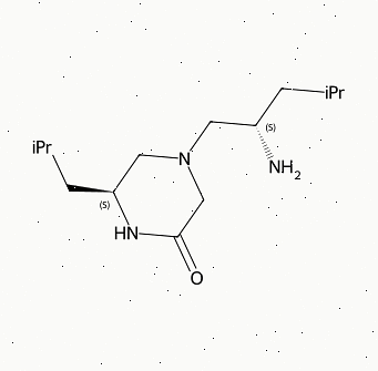 CC(C)C[C@H](N)CN1CC(=O)N[C@@H](CC(C)C)C1